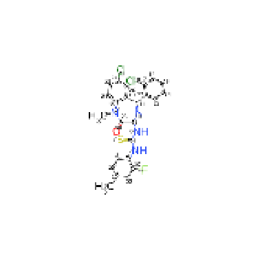 Cc1ccc(NC(=S)NC2N=C(c3ccccc3Cl)c3cc(Cl)ccc3N(C)C2=O)c(F)c1